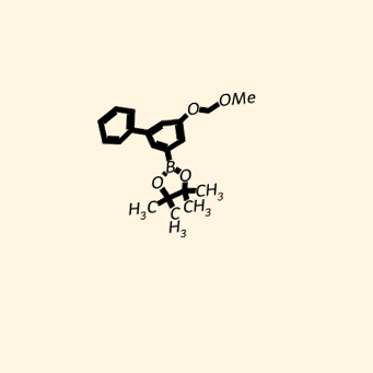 COCOc1cc(B2OC(C)(C)C(C)(C)O2)cc(-c2ccccc2)c1